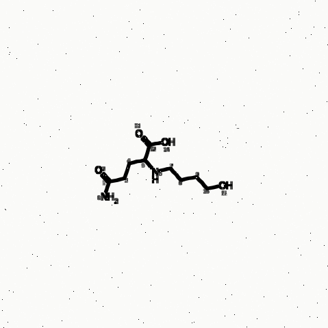 NC(=O)CCC(NCCCCO)C(=O)O